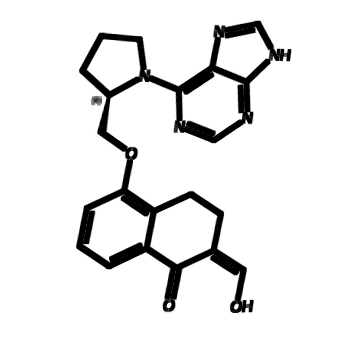 O=C1C(=CO)CCc2c(OC[C@H]3CCCN3c3ncnc4[nH]cnc34)cccc21